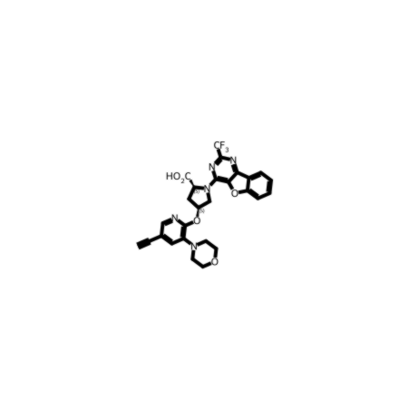 C#Cc1cnc(O[C@H]2C[C@@H](C(=O)O)N(c3nc(C(F)(F)F)nc4c3oc3ccccc34)C2)c(N2CCOCC2)c1